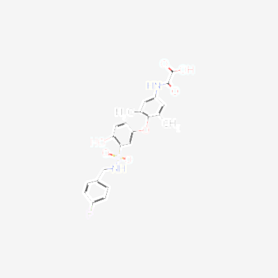 Cc1cc(NC(=O)C(=O)O)cc(C)c1Oc1ccc(O)c(S(=O)(=O)NCc2ccc(F)cc2)c1